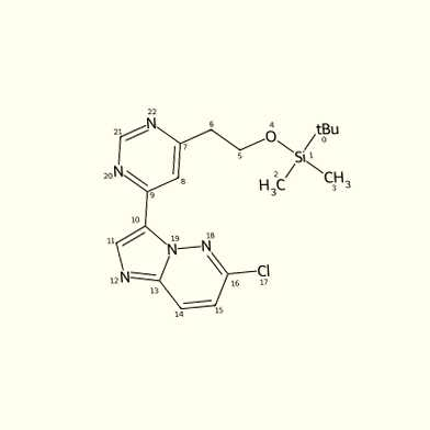 CC(C)(C)[Si](C)(C)OCCc1cc(-c2cnc3ccc(Cl)nn23)ncn1